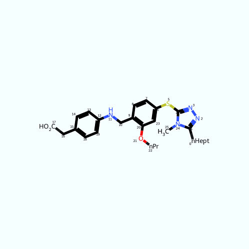 CCCCCCCc1nnc(Sc2ccc(CNc3ccc(CC(=O)O)cc3)c(OCCC)c2)n1C